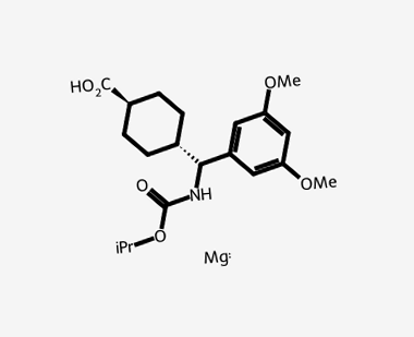 COc1cc(OC)cc(C(NC(=O)OC(C)C)[C@H]2CC[C@H](C(=O)O)CC2)c1.[Mg]